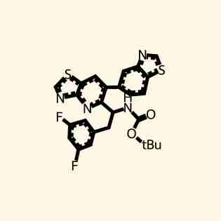 CC(C)(C)OC(=O)NC(Cc1cc(F)cc(F)c1)c1nc2ncsc2cc1-c1ccc2scnc2c1